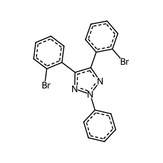 Brc1ccccc1-c1nn(-c2ccccc2)nc1-c1ccccc1Br